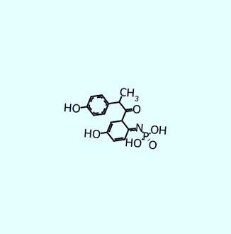 CC(C(=O)C1C=C(O)C=C/C1=N\P(=O)(O)O)c1ccc(O)cc1